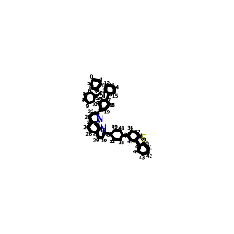 c1ccc([Si]2(c3ccccc3)c3ccccc3-c3ccc(-c4ccc5ccc6ccc(-c7ccc(-c8ccc9sc%10ccccc%10c9c8)cc7)nc6c5n4)cc32)cc1